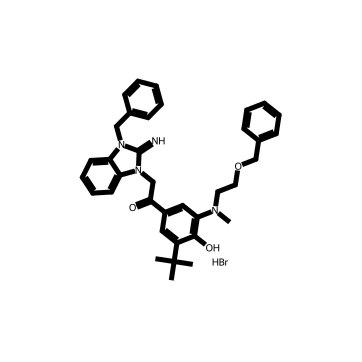 Br.CN(CCOCc1ccccc1)c1cc(C(=O)Cn2c(=N)n(Cc3ccccc3)c3ccccc32)cc(C(C)(C)C)c1O